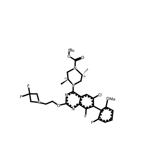 COc1cccc(F)c1-c1c(Cl)cc2c(N3C[C@@H](C)N(C(=O)OC(C)(C)C)C[C@@H]3C)nc(OCCN3CC(F)(F)C3)nc2c1F